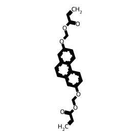 C=CC(=O)OCOc1ccc2c(ccc3cc(OCOC(=O)C=C)ccc32)c1